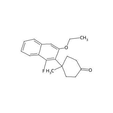 CCOc1cc2ccccc2c(F)c1C1(C)CCC(=O)CC1